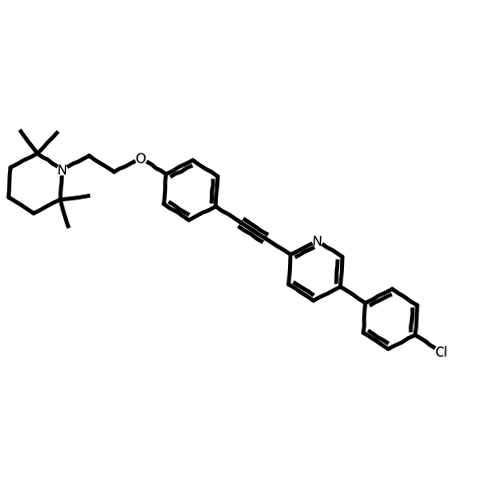 CC1(C)CCCC(C)(C)N1CCOc1ccc(C#Cc2ccc(-c3ccc(Cl)cc3)cn2)cc1